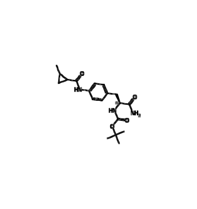 CC1CC1C(=O)Nc1ccc(C[C@H](NC(=O)OC(C)(C)C)C(N)=O)cc1